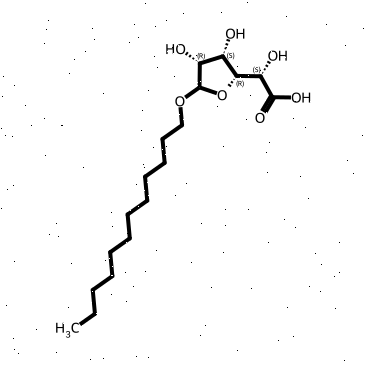 CCCCCCCCCCCCOC1O[C@@H]([C@H](O)C(=O)O)[C@@H](O)[C@H]1O